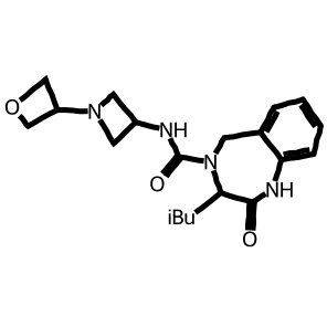 CCC(C)C1C(=O)Nc2ccccc2CN1C(=O)NC1CN(C2COC2)C1